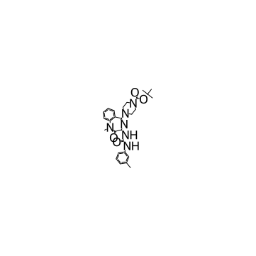 Cc1cccc(NC(=O)N[C@@H]2N=C(N3CCN(C(=O)OC(C)(C)C)CC3)c3ccccc3N(C)C2=O)c1